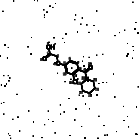 O=C(O)COc1ccc(C(=O)N2CCCCC2)c(Cl)c1